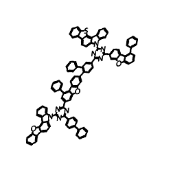 c1ccc(-c2ccc(-c3nc(-c4cc(-c5ccccc5)c5c(c4)oc4cc(-c6ccc(-c7nc(-c8ccc9c(c8)oc8cccc(-c%10ccccc%10)c89)nc(-n8c9ccccc9c9c%10sc%11ccccc%11c%10ccc98)n7)cc6-c6ccccc6)ccc45)nc(-n4c5ccccc5c5c6oc7ccccc7c6ccc54)n3)cc2)cc1